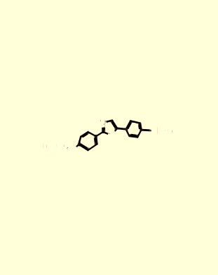 CCCCCCOc1ccc(-c2ncc(-c3ccc(CCCCCC)cc3)s2)cc1